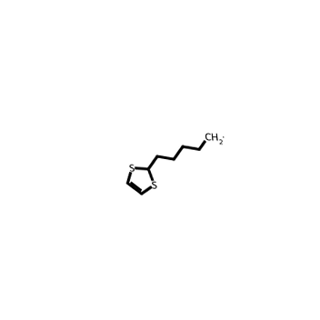 [CH2]CCCCC1SC=CS1